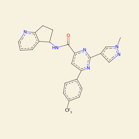 Cn1cc(-c2nc(C(=O)NC3CCc4ncccc43)cc(-c3ccc(C(F)(F)F)cc3)n2)cn1